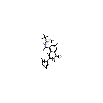 C/C(=N/[S@+]([O-])C(C)(C)C)c1cc(C)cc2c(=O)n(C)c(-c3cncn3C)nc12